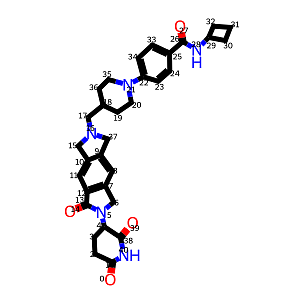 O=C1CCC(N2Cc3cc4c(cc3C2=O)CN(CC2CCN(c3ccc(C(=O)NC5CCC5)cc3)CC2)C4)C(=O)N1